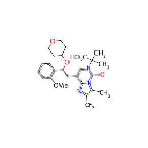 COc1ccccc1[C@H](Cc1cn(C(C)(C)C(=O)O)c(=O)n2c(C)c(C(F)(F)F)nc12)OC1CCOCC1